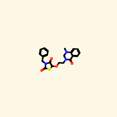 CN1CN(CCOC2SC(=O)N(Cc3ccccc3)C2=O)C(=O)c2ccccc21